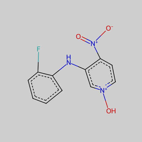 O=[N+]([O-])c1cc[n+](O)cc1Nc1ccccc1F